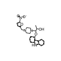 CC(O)C(Oc1cccc2[nH]c3ccccc3c12)N1CCN(Cc2ccc([N+](=O)[O-])o2)CC1